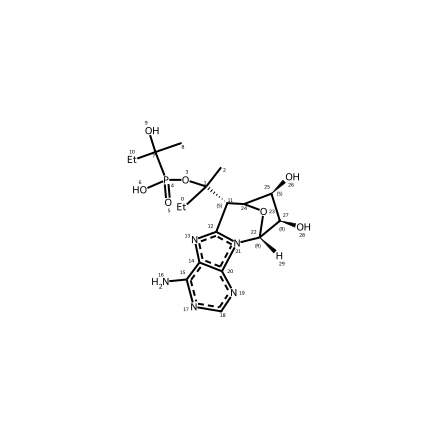 CCC(C)(OP(=O)(O)C(C)(O)CC)[C@H]1c2nc3c(N)ncnc3n2[C@@H]2OC1[C@@H](O)[C@H]2O